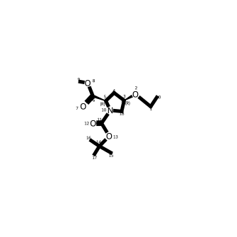 CCO[C@@H]1C[C@H](C(=O)OC)N(C(=O)OC(C)(C)C)C1